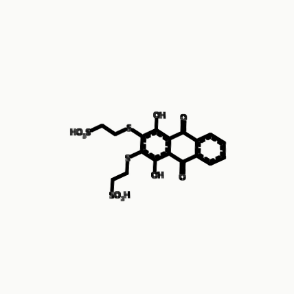 O=C1c2ccccc2C(=O)c2c(O)c(SCCS(=O)(=O)O)c(SCCS(=O)(=O)O)c(O)c21